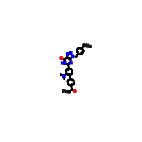 COC(=O)c1ccc(-c2ccc(-c3nc4c(nnn4Cc4ccc(OC)cc4)c(=O)[nH]3)cc2N(C)C)cc1